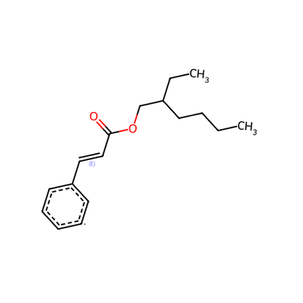 CCCCC(CC)COC(=O)/C=C/c1c[c]ccc1